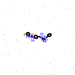 O=C(Nc1ccc(CCNc2ncnc3sc(-c4ccccc4)nc23)cc1)Nc1cccc(F)c1